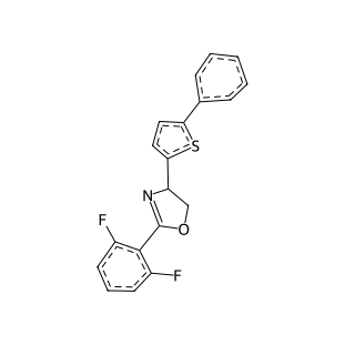 Fc1cccc(F)c1C1=NC(c2ccc(-c3ccccc3)s2)CO1